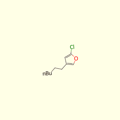 [CH2]CCCCCc1coc(Cl)c1